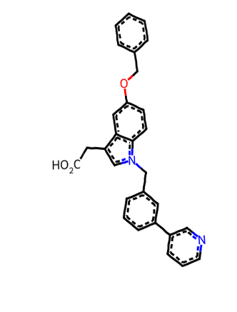 O=C(O)Cc1cn(Cc2cccc(-c3cccnc3)c2)c2ccc(OCc3ccccc3)cc12